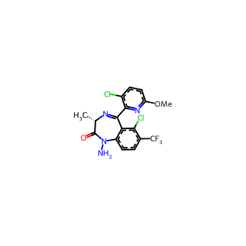 COc1ccc(Cl)c(C2=N[C@@H](C)C(=O)N(N)c3ccc(C(F)(F)F)c(Cl)c32)n1